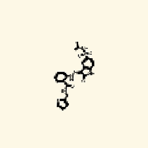 CC(C)NS(=O)(=O)c1ccc2c(c1)/C(=N/Nc1ccccc1C(=O)NCc1ccco1)C(=O)N2